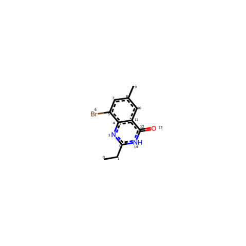 CCc1nc2c(Br)cc(C)cc2c(=O)[nH]1